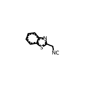 [C-]#[N+]Cc1nc2ccccc2s1